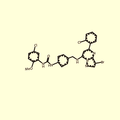 COc1ccc(Cl)cc1NC(=O)Nc1ccc(CNc2cc(-c3ccccc3Cl)nc3c(Br)cnn23)cc1